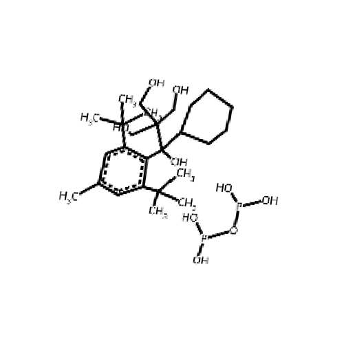 Cc1cc(C(C)(C)C)c(C(O)(C2CCCCC2)C(CO)(CO)CO)c(C(C)(C)C)c1.OP(O)OP(O)O